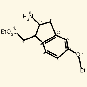 CCOC(=O)CC1c2ccc(OCC)cc2CC1N